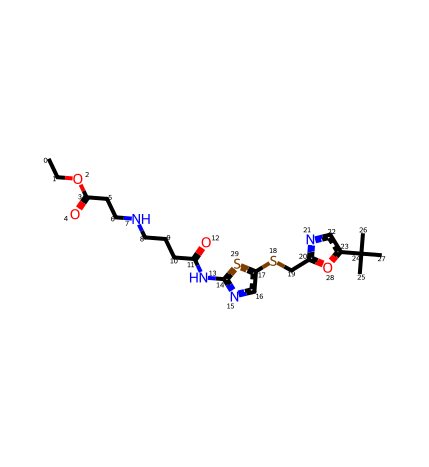 CCOC(=O)CCNCCCC(=O)Nc1ncc(SCc2ncc(C(C)(C)C)o2)s1